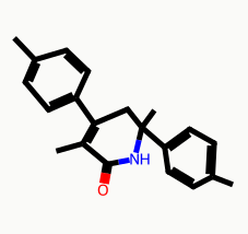 CC1=C(c2ccc(C)cc2)CC(C)(c2ccc(C)cc2)NC1=O